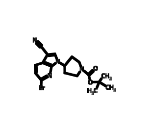 CC(C)(C)OC(=O)N1CCC(n2cc(C#N)c3ccc(Br)nc32)CC1